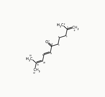 C=C(C)CCCC(=O)C=CC=C(C)C